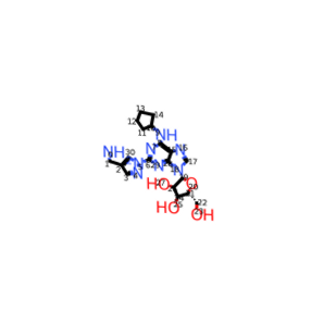 NCc1cnn(-c2nc(NC3CCCC3)c3ncn([C@@H]4O[C@H](CO)C(O)C4O)c3n2)c1